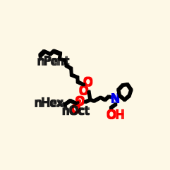 CCCCC/C=C\C/C=C\CCCCCCCC(=O)OCC(CCCCN(CCO)C1CCCCCC1)COC(=O)CC(CCCCCC)CCCCCCCC